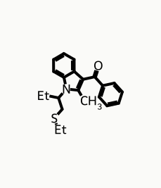 CCSCC(CC)n1c(C)c(C(=O)c2ccccc2)c2ccccc21